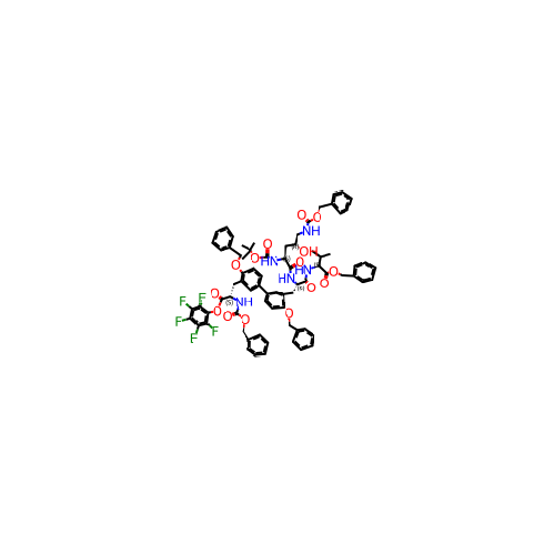 CC(C)[C@H](NC(=O)[C@H](Cc1cc(-c2ccc(OCc3ccccc3)c(C[C@H](NC(=O)OCc3ccccc3)C(=O)Oc3c(F)c(F)c(F)c(F)c3F)c2)ccc1OCc1ccccc1)NC(=O)[C@H](C[C@@H](O)CNC(=O)OCc1ccccc1)NC(=O)OC(C)(C)C)C(=O)OCc1ccccc1